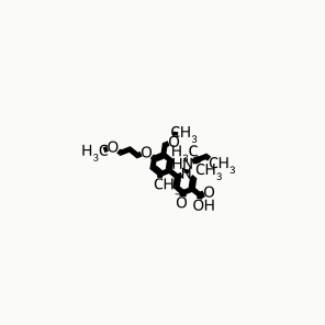 CCC(C)(C)Nn1cc(C(=O)O)c(=O)cc1-c1cc(COC)c(OCCCOC)cc1C